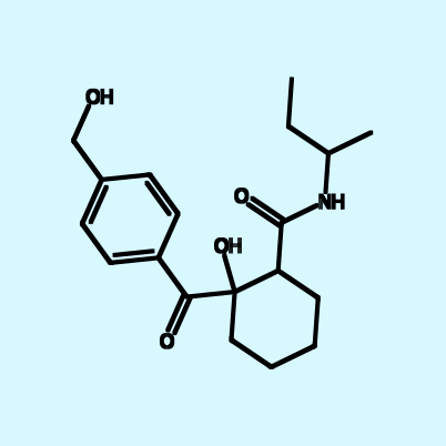 CCC(C)NC(=O)C1CCCCC1(O)C(=O)c1ccc(CO)cc1